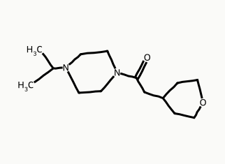 CC(C)N1CCN(C(=O)CC2CCOCC2)CC1